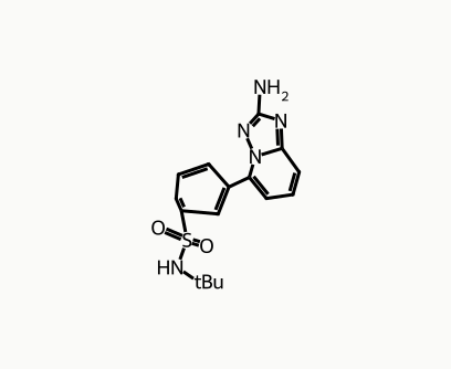 CC(C)(C)NS(=O)(=O)c1cccc(-c2cccc3nc(N)nn23)c1